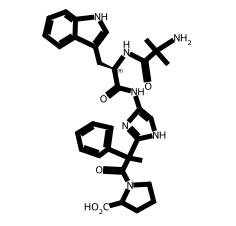 CC(C)(N)C(=O)N[C@H](Cc1c[nH]c2ccccc12)C(=O)Nc1c[nH]c(C(C)(C(=O)N2CCCC2C(=O)O)c2ccccc2)n1